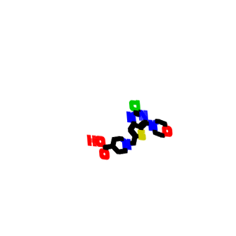 O=C(O)C1CCN(Cc2cc3nc(Cl)nc(N4CCOCC4)c3s2)CC1